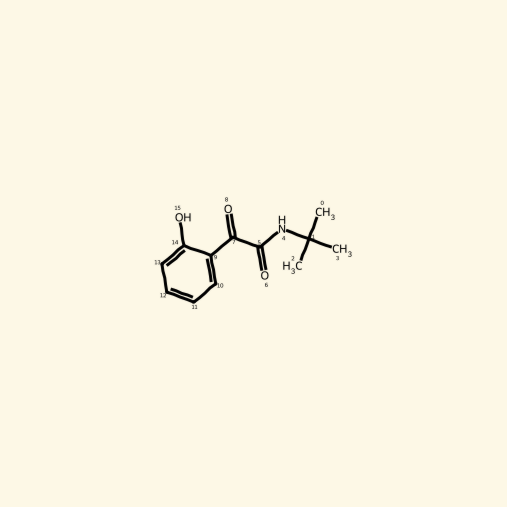 CC(C)(C)NC(=O)C(=O)c1ccccc1O